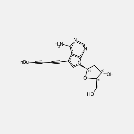 CCCCC#CC#Cc1cn([C@H]2C[C@H](O)[C@@H](CO)O2)c2ncnc(N)c12